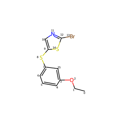 CCOc1cccc(Sc2cnc(Br)s2)c1